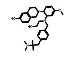 COC1=CC(N(CCO)Cc2ccc(CC(C)(C)N(C)C)cc2)C([C@@H]2CCc3cc(O)ccc3C2)C=C1